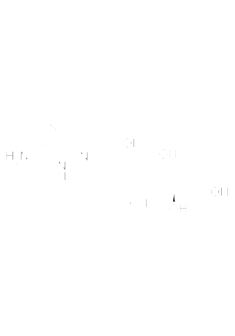 NC(=S)N/N=C/[C@H](O)[C@@H](O)[C@H](O)[C@H](O)CO